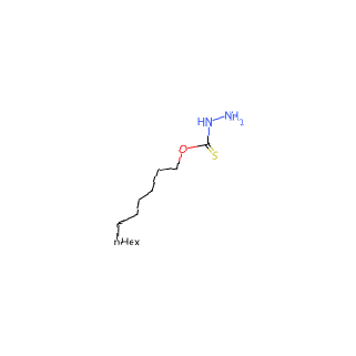 CCCCCCCCCCCCOC(=S)NN